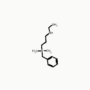 C[N+](C)(CCCNC[SiH3])Cc1ccccc1